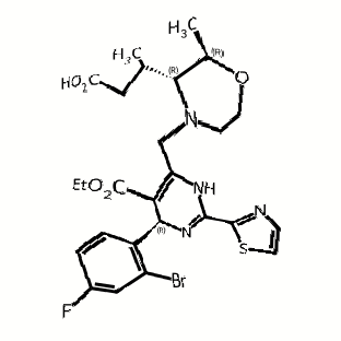 CCOC(=O)C1=C(CN2CCO[C@H](C)[C@H]2C(C)CC(=O)O)NC(c2nccs2)=N[C@H]1c1ccc(F)cc1Br